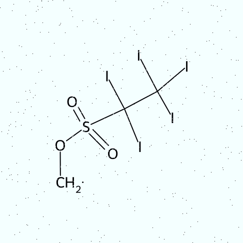 [CH2]OS(=O)(=O)C(I)(I)C(I)(I)I